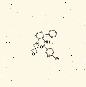 CC(C)c1ccc(C(=O)Nc2c(-c3ccccc3)ccnc2N2CC3(COC3)C2)cn1